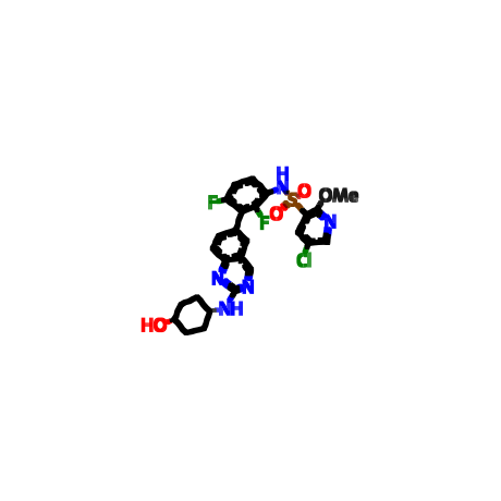 COc1ncc(Cl)cc1S(=O)(=O)Nc1ccc(F)c(-c2ccc3nc(N[C@H]4CC[C@H](O)CC4)ncc3c2)c1F